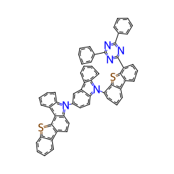 c1ccc(-c2nc(-c3ccccc3)nc(-c3cccc4c3sc3c(-n5c6ccccc6c6cc(-n7c8ccccc8c8c9sc%10ccccc%10c9ccc87)ccc65)cccc34)n2)cc1